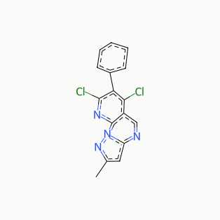 Cc1cc2ncc3c(Cl)c(-c4ccccc4)c(Cl)nc3n2n1